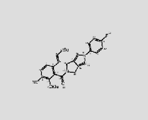 COc1c(C#N)ccc(/C=C/C(C)(C)C)c1C(=O)N1Cc2cn(-c3ccc(F)cc3)nc2C1